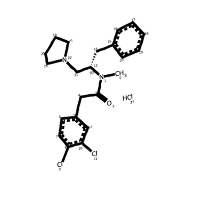 CN(C(=O)Cc1ccc(Cl)c(Cl)c1)[C@@H](Cc1ccccc1)CN1CCCC1.Cl